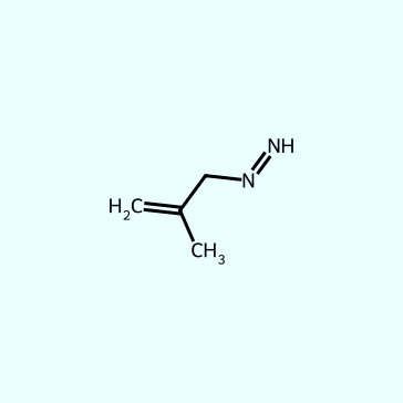 C=C(C)CN=N